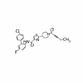 CCC#CC(=O)N1CCC(c2nc(C(=O)Nc3ccc(F)cc3-c3ccc(Cl)cc3)cs2)CC1